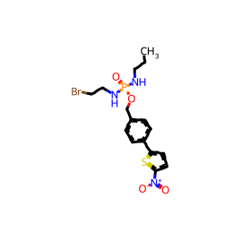 CCCNP(=O)(NCCBr)OCc1ccc(-c2ccc([N+](=O)[O-])s2)cc1